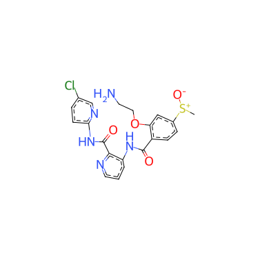 C[S+]([O-])c1ccc(C(=O)Nc2cccnc2C(=O)Nc2ccc(Cl)cn2)c(OCCN)c1